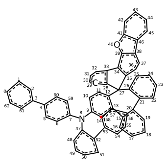 c1ccc(-c2ccc(N(c3ccc4c(c3)-c3ccccc3-c3ccccc3C43c4ccccc4-c4c3ccc3c4oc4ccccc43)c3ccccc3-c3ccccc3)cc2)cc1